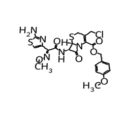 CON=C(C(=O)N[C@@H]1C(=O)N2C(C(=O)OCc3ccc(OC)cc3)=C(CCl)CS[C@@H]12)c1csc(N)n1